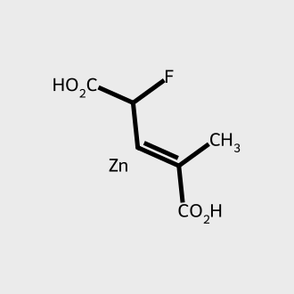 CC(=CC(F)C(=O)O)C(=O)O.[Zn]